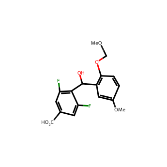 COCOc1ccc(OC)cc1C(O)c1c(F)cc(C(=O)O)cc1F